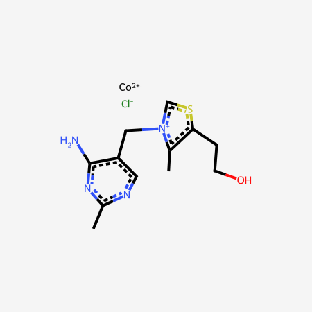 Cc1ncc(C[n+]2csc(CCO)c2C)c(N)n1.[Cl-].[Co+2]